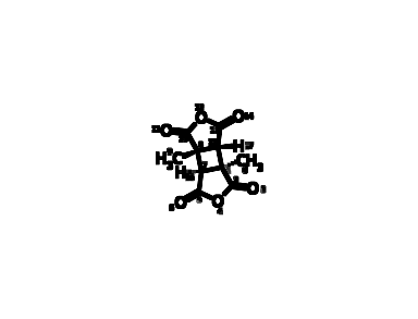 C[C@]12C(=O)OC(=O)[C@H]1[C@]1(C)C(=O)OC(=O)[C@H]21